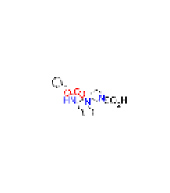 C=CC[C@@H](NC(=O)OCc1ccccc1)C(=O)N(CC=C)C1CCCN(C(=O)O)C1